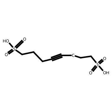 O=S(=O)(O)CCCC#CCCCS(=O)(=O)O